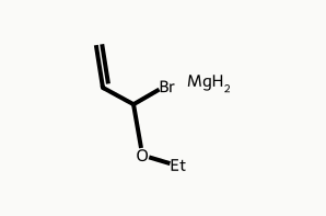 C=CC(Br)OCC.[MgH2]